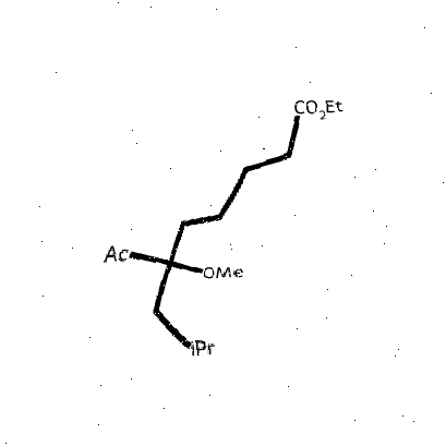 CCOC(=O)CCCCC(CC(C)C)(OC)C(C)=O